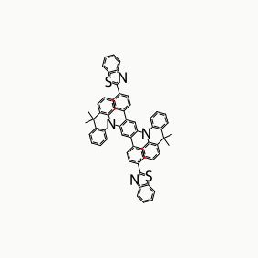 CC1(C)c2ccccc2N(c2cc(-c3ccc(-c4nc5ccccc5s4)cc3)c(N3c4ccccc4C(C)(C)c4ccccc43)cc2-c2ccc(-c3nc4ccccc4s3)cc2)c2ccccc21